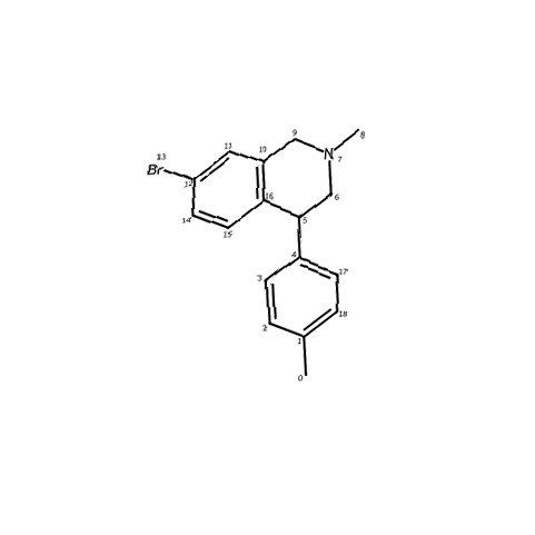 Cc1ccc(C2CN(C)Cc3cc(Br)ccc32)cc1